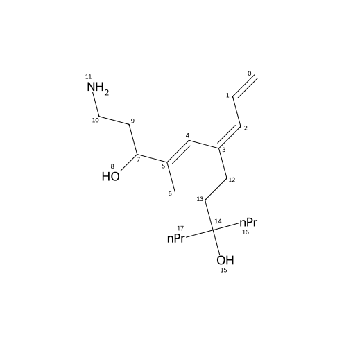 C=C/C=C(\C=C(/C)C(O)CCN)CCC(O)(CCC)CCC